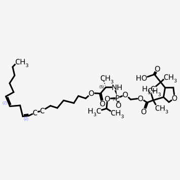 CCCCC/C=C\C/C=C\CCCCCCCCOC(=O)[C@H](C)N[P@](=O)(OCOC(=O)C(C)(C)C1COCC1C(C)(C)C(=O)O)OC(C)C